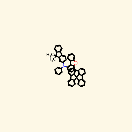 CC1(C)c2ccccc2-c2ccc(N(c3ccccc3)c3ccc(-c4cccc5c4C4(c6ccccc6-c6ccccc64)c4ccccc4-5)c4oc5ccccc5c34)cc21